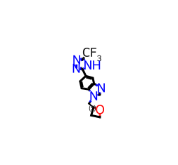 FC(F)(F)c1nnc(-c2ccc3c(c2)ncn3C[C@@H]2CCO2)[nH]1